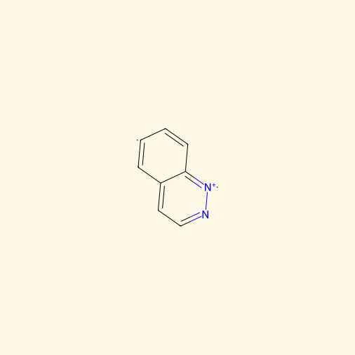 [c]1ccc2c(c1)=CC=N[N+]=2